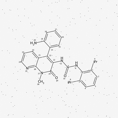 CC(C)c1cccc(C(C)C)c1NC(=O)Nc1c(-c2ccccc2N)c2cccnc2n(C)c1=O